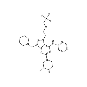 C[C@@H]1CN(c2nc(Nc3ccncn3)c3c(n2)c(CN2CCCCC2)nn3CCOCC(F)(F)F)CCN1